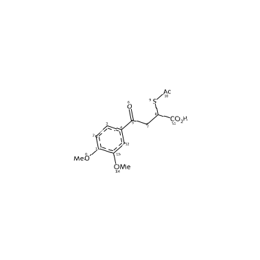 COc1ccc(C(=O)CC(SC(C)=O)C(=O)O)cc1OC